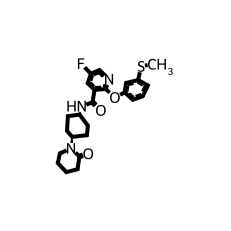 CSc1cccc(Oc2ncc(F)cc2C(=O)N[C@H]2CC[C@H](N3CCCCC3=O)CC2)c1